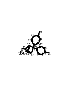 Cc1ccc(C2(c3ccc(C)cc3)C3=[C]C(C)C2=C3C(C)(C)C)cc1